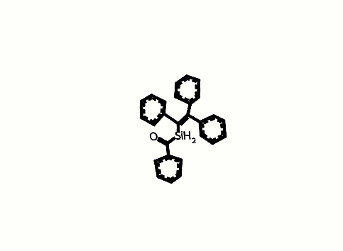 O=C([SiH2]C(=C(c1ccccc1)c1ccccc1)c1ccccc1)c1ccccc1